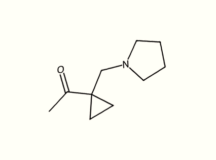 CC(=O)C1(CN2CCCC2)CC1